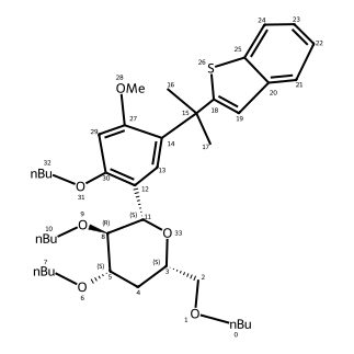 CCCCOC[C@@H]1C[C@H](OCCCC)[C@@H](OCCCC)[C@H](c2cc(C(C)(C)c3cc4ccccc4s3)c(OC)cc2OCCCC)O1